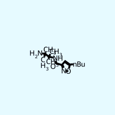 CCCCc1cc(C(=O)NC(C)(C)C(C)(C)N)no1